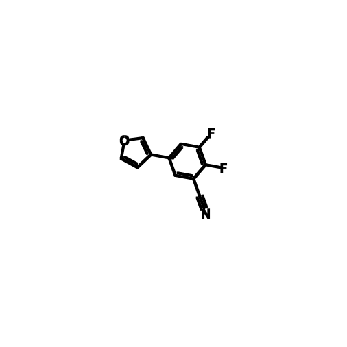 N#Cc1cc(-c2ccoc2)cc(F)c1F